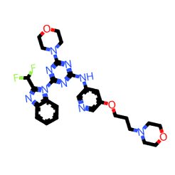 FC(F)c1nc2ccccc2n1-c1nc(Nc2cncc(OCCCN3CCOCC3)c2)nc(N2CCOCC2)n1